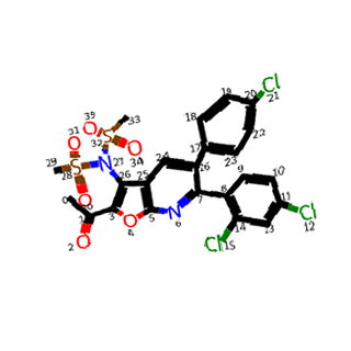 CC(=O)c1oc2nc(-c3ccc(Cl)cc3Cl)c(-c3ccc(Cl)cc3)cc2c1N(S(C)(=O)=O)S(C)(=O)=O